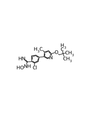 Cc1cc(OCC(C)(C)C)ncc1-c1ccc(C(=N)NO)c(Cl)c1